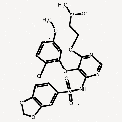 COc1ccc(Cl)c(Oc2c(NS(=O)(=O)c3ccc4c(c3)OCO4)ncnc2OCC[S+](C)[O-])c1